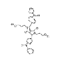 CCOCCCN1C(=O)C2=C(c3ccc(N(CC)c4ccccc4)cc3)N(CCCOCC)C(=O)C2=C1c1ccc(N(CC)c2ccccc2)cc1